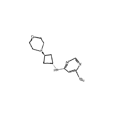 CC(C)(C)c1cc(N[C@H]2C[C@H](N3CCOCC3)C2)ncn1